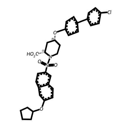 O=C(O)[C@@H]1C[C@H](Oc2ccc(-c3ccc(Cl)cc3)cc2)CCN1S(=O)(=O)c1ccc2cc(OC3CCCC3)ccc2c1